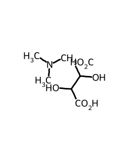 CN(C)C.O=C(O)C(O)C(O)C(=O)O